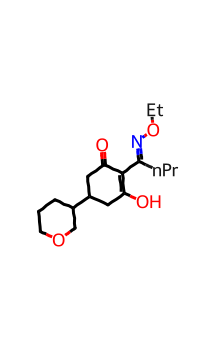 CCCC(=NOCC)C1=C(O)CC(C2CCCOC2)CC1=O